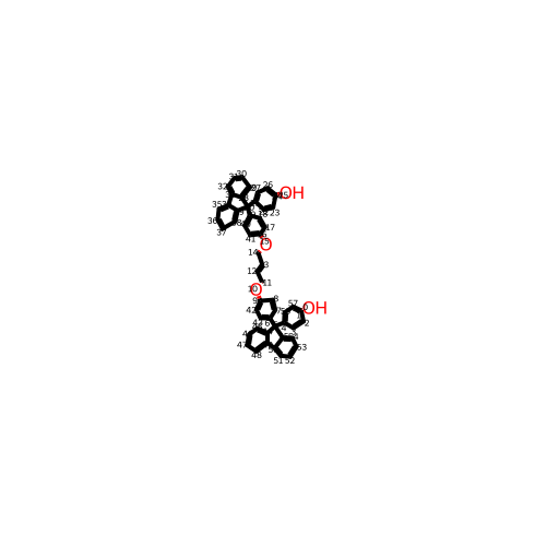 Oc1ccc(C2(c3ccc(OC/C=C/COc4ccc(C5(c6ccc(O)cc6)c6ccccc6-c6ccccc65)cc4)cc3)c3ccccc3-c3ccccc32)cc1